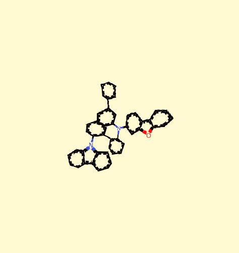 c1ccc(-c2cccc(N(c3ccc4c(c3)oc3ccccc34)c3ccccc3-c3ccccc3-n3c4ccccc4c4ccccc43)c2)cc1